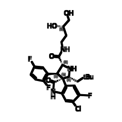 CC(C)(C)C[C@H]1N[C@@H](C(=O)NCC[C@H](O)CO)[C@H](c2cc(F)ccc2F)[C@@]12C(=O)Nc1cc(Cl)c(F)cc12